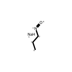 CCCN=O.[NaH]